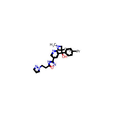 CC(C)c1ccc(C(O)(c2cncc(-c3noc(CCn4cccn4)n3)c2)C2(C)CN(C)C2)cc1